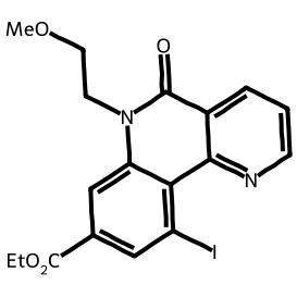 CCOC(=O)c1cc(I)c2c3ncccc3c(=O)n(CCOC)c2c1